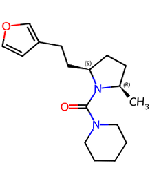 C[C@@H]1CC[C@H](CCc2ccoc2)N1C(=O)N1CCCCC1